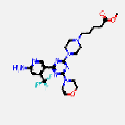 COC(=O)CCCCN1CCN(c2nc(-c3cnc(N)cc3C(F)(F)F)nc(N3CCOCC3)n2)CC1